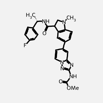 COC(=O)Nc1nc2cc(-c3ccc4c(c3)C(C(=O)N[C@@H](C)c3ccc(F)cc3)CN4C)ccn2n1